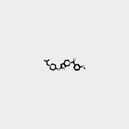 COc1cccc(C(=O)N2CCc3cc(OC4CCN(CC(C)C)CC4)sc3C2)c1